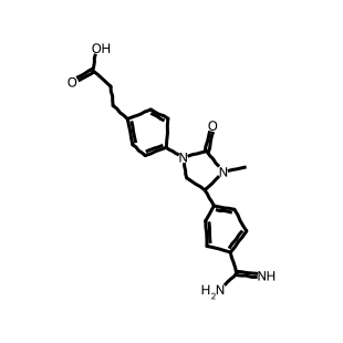 CN1C(=O)N(c2ccc(CCC(=O)O)cc2)CC1c1ccc(C(=N)N)cc1